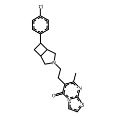 Cc1nc2sccn2c(=O)c1CCN1CC2CC(c3ccc(Cl)cc3)C2C1